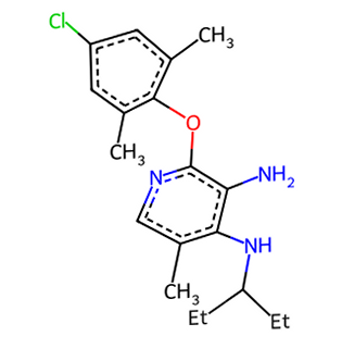 CCC(CC)Nc1c(C)cnc(Oc2c(C)cc(Cl)cc2C)c1N